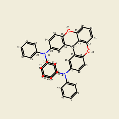 c1ccc(N(c2ccccc2)c2ccc3c(c2)B2c4cc(N(c5ccccc5)c5ccccc5)ccc4Oc4cccc(c42)O3)cc1